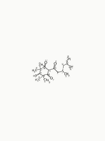 CC(CC(=O)C1C(=O)C(C)(C)C(=O)C(C)(C)C1=O)CN(O)O